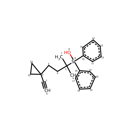 C#CC1(CCC(C)(C)[Si](O)(c2ccccc2)c2ccccc2)CC1